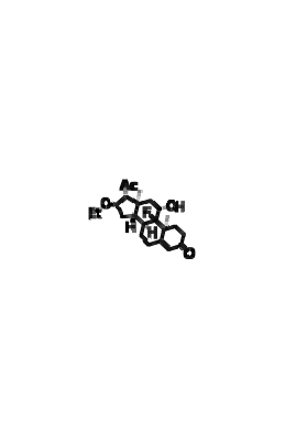 CCO[C@@H]1C[C@H]2[C@@H]3CCC4=CC(=O)CC[C@]4(C)C3(F)[C@@H](O)C[C@]2(C)[C@H]1C(C)=O